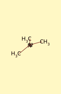 CCCCCCCCCCCCCCCCCCC[n+]1ccn(CCCCCCCCCCCCCCCCC)c1CCCCCCCCC